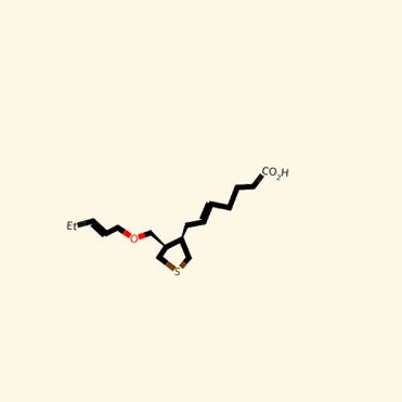 CCC=CCOC[C@@H]1CSC[C@@H]1CC=CCCCC(=O)O